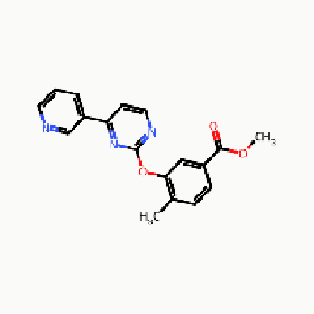 COC(=O)c1ccc(C)c(Oc2nccc(-c3cccnc3)n2)c1